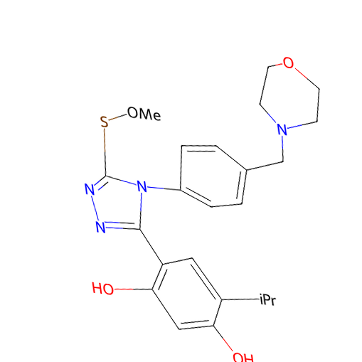 COSc1nnc(-c2cc(C(C)C)c(O)cc2O)n1-c1ccc(CN2CCOCC2)cc1